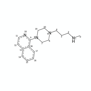 CNCCCN1CCN(c2nccc3ccccc23)CC1